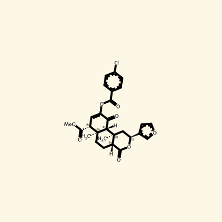 COC(=O)[C@@H]1C=C(OC(=O)c2ccc(Cl)cc2)C(=O)[C@H]2[C@@]1(C)CC[C@H]1C(=O)O[C@H](c3ccoc3)C[C@]21C